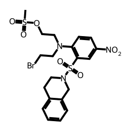 CS(=O)(=O)OCCN(CCBr)c1ccc([N+](=O)[O-])cc1S(=O)(=O)N1CCc2ccccc2C1